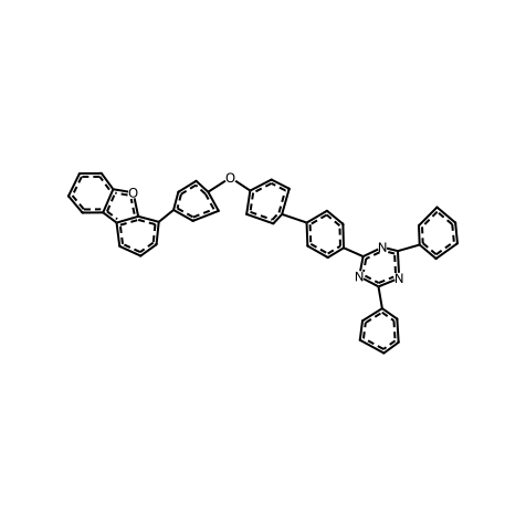 c1ccc(-c2nc(-c3ccccc3)nc(-c3ccc(-c4ccc(Oc5ccc(-c6cccc7c6oc6ccccc67)cc5)cc4)cc3)n2)cc1